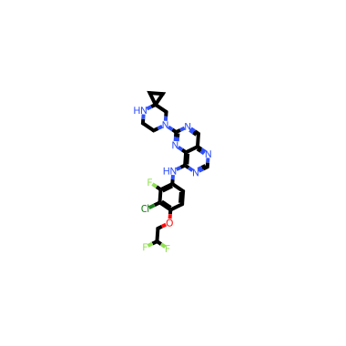 Fc1c(Nc2ncnc3cnc(N4CCNC5(CC5)C4)nc23)ccc(OCC(F)F)c1Cl